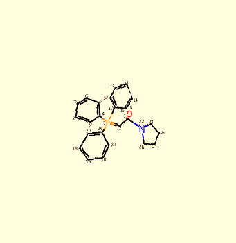 O=C(C=P(c1ccccc1)(c1ccccc1)c1ccccc1)N1CCCC1